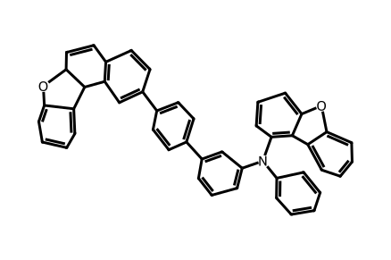 C1=CC2Oc3ccccc3C2c2cc(-c3ccc(-c4cccc(N(c5ccccc5)c5cccc6oc7ccccc7c56)c4)cc3)ccc21